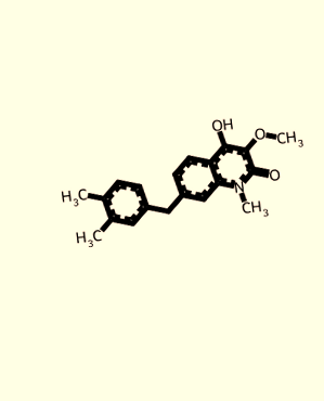 COc1c(O)c2ccc(Cc3ccc(C)c(C)c3)cc2n(C)c1=O